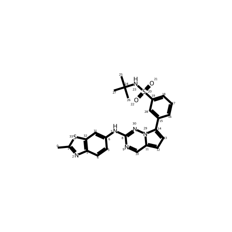 Cc1nc2ccc(Nc3ncc4ccc(-c5cccc(S(=O)(=O)NC(C)(C)C)c5)n4n3)cc2s1